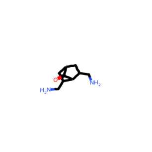 NCC1CC2CC(CN)C1C2=O